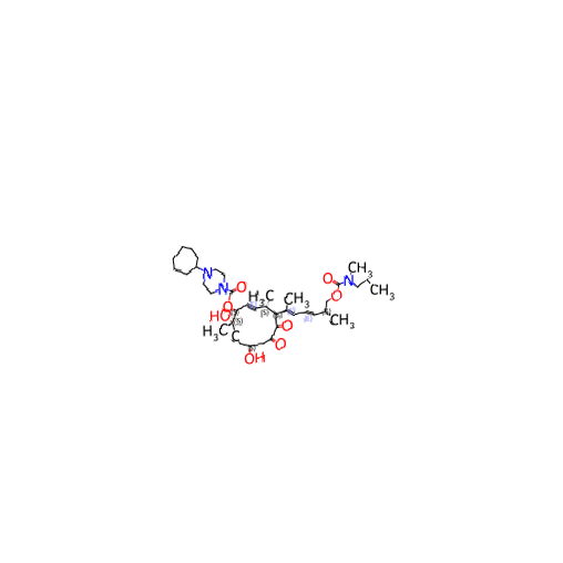 CCCN(C)C(=O)OC[C@@H](C)/C=C/C=C(\C)[C@H]1C(=O)C(=O)C[C@@H](O)CC[C@](C)(O)[C@@H](OC(=O)N2CCN(C3CCCCCC3)CC2)/C=C/[C@@H]1C